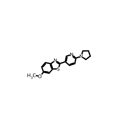 COc1ccc2nc(-c3ccc(N4CCCC4)nc3)sc2c1